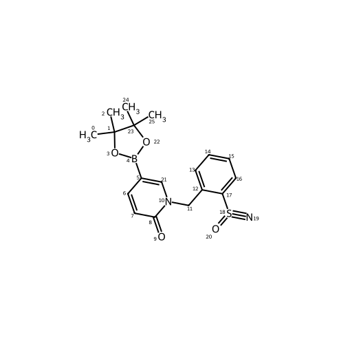 CC1(C)OB(c2ccc(=O)n(Cc3ccccc3S(#N)=O)c2)OC1(C)C